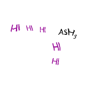 I.I.I.I.I.[AsH3]